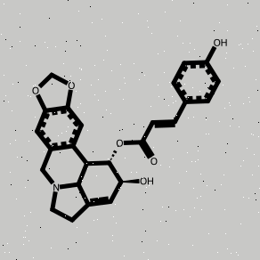 O=C(/C=C/c1ccc(O)cc1)O[C@H]1C2c3cc4c(cc3CN3CCC(=C[C@@H]1O)C23)OCO4